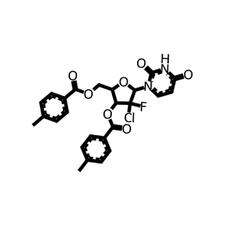 Cc1ccc(C(=O)OCC2OC(n3ccc(=O)[nH]c3=O)C(F)(Cl)C2OC(=O)c2ccc(C)cc2)cc1